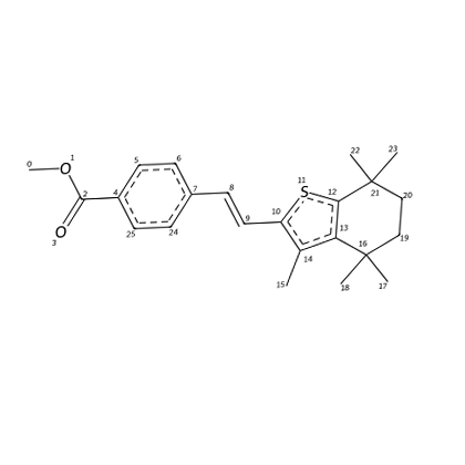 COC(=O)c1ccc(C=Cc2sc3c(c2C)C(C)(C)CCC3(C)C)cc1